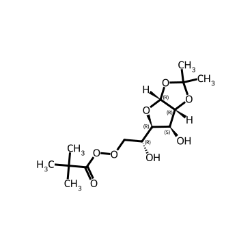 CC1(C)O[C@H]2O[C@H]([C@H](O)COOC(=O)C(C)(C)C)[C@H](O)[C@H]2O1